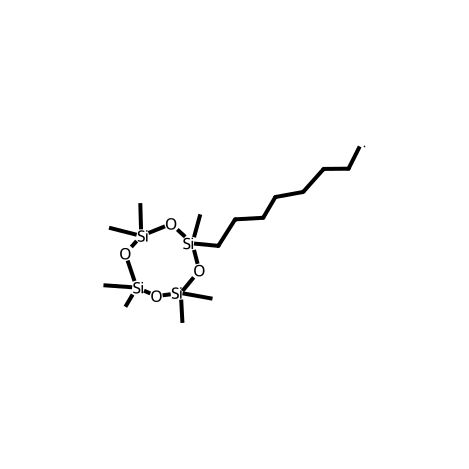 [CH2]CCCCCCC[Si]1(C)O[Si](C)(C)O[Si](C)(C)O[Si](C)(C)O1